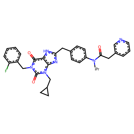 CC(C)N(C(=O)Cc1cccnc1)c1ccc(Cc2nc3c([nH]2)c(=O)n(Cc2ccccc2F)c(=O)n3CC2CC2)cc1